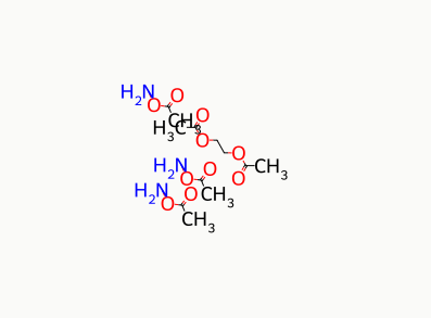 CC(=O)OCCOC(C)=O.CC(=O)ON.CC(=O)ON.CC(=O)ON